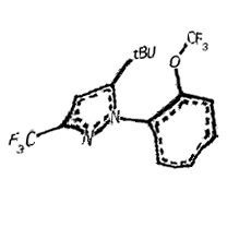 CC(C)(C)c1cc(C(F)(F)F)nn1-c1ccccc1OC(F)(F)F